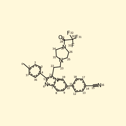 Cc1ccc(-c2nc3ccc(-c4ccc(C#N)cc4)cn3c2CCN2CCN(C(=O)C(F)(F)F)CC2)cc1